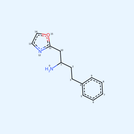 NC(CCc1ccccc1)Cc1ncco1